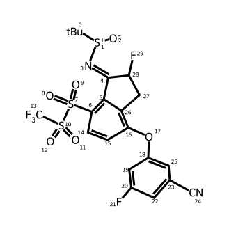 CC(C)(C)[S+]([O-])N=C1c2c(S(=O)(=O)S(=O)(=O)C(F)(F)F)ccc(Oc3cc(F)cc(C#N)c3)c2CC1F